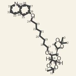 CC1(C)OCC([C@H]2O[C@@H]3OC(C)(C)O[C@@H]3C2OCCCCCCCCOc2ccc3ncccc3c2)O1